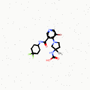 CC1(NC(=O)O)CCN(c2c(Br)cncc2C(=O)NC2CCC(F)(F)CC2)C1